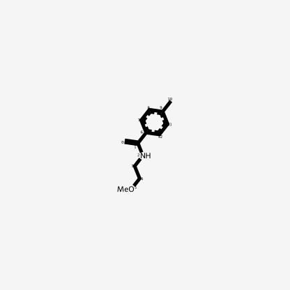 C=C(NCCOC)c1ccc(C)cc1